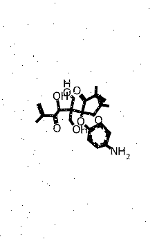 C=C(C)C(=O)C(O)C(CO)(CO)C(Oc1ccc(N)cc1)(C(=O)C(=C)C)C(=O)C(=C)C